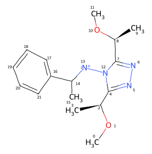 CO[C@@H](C)c1nnc([C@H](C)OC)n1[N+]C(C)c1ccccc1